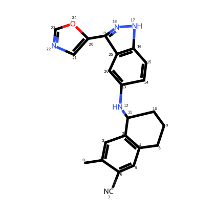 Cc1cc2c(cc1C#N)CCCC2Nc1ccc2[nH]nc(-c3cnco3)c2c1